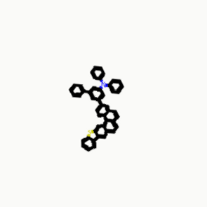 c1ccc(-c2cc(-c3ccc4c(ccc5ccc6cc7c(cc6c54)sc4ccccc47)c3)cc(N(c3ccccc3)c3ccccc3)c2)cc1